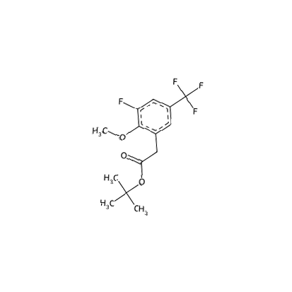 COc1c(F)cc(C(F)(F)F)cc1CC(=O)OC(C)(C)C